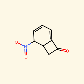 O=C1CC2C1=CC=CC2[N+](=O)[O-]